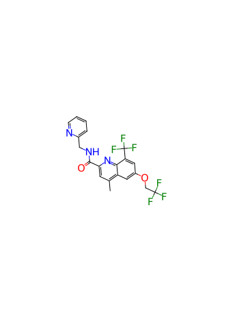 Cc1cc(C(=O)NCc2ccccn2)nc2c(C(F)(F)F)cc(OCC(F)(F)F)cc12